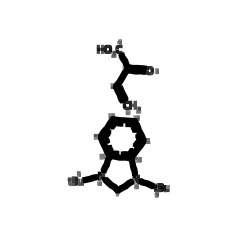 C=CC(=O)C(=O)O.CC(C)(C)N1CN(C(C)(C)C)c2ccccc21